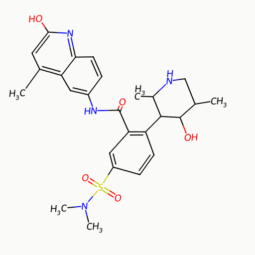 Cc1cc(O)nc2ccc(NC(=O)c3cc(S(=O)(=O)N(C)C)ccc3C3C(C)NCC(C)C3O)cc12